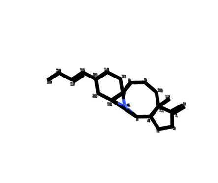 C=C1CCC2C3N4C5(CCCC12C)CCC(/C=C/CC)CC345